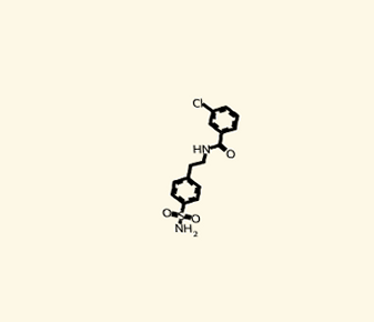 NS(=O)(=O)c1ccc(CCNC(=O)c2cccc(Cl)c2)cc1